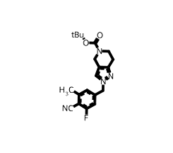 Cc1cc(Cn2cc3c(n2)CCN(C(=O)OC(C)(C)C)C3)cc(F)c1C#N